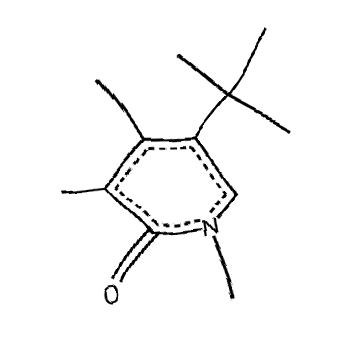 Cc1c(C(C)(C)C)cn(C)c(=O)c1C